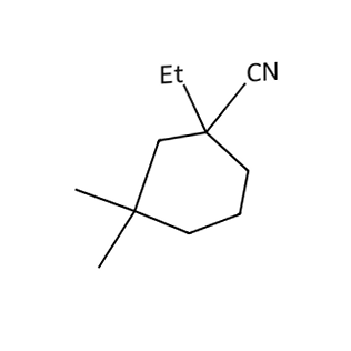 CCC1(C#N)CCCC(C)(C)C1